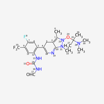 CC1=C2CC(c3cc(F)c(C(F)(F)F)cc3NC(=O)NC=O)=CN=C2N(C)N1OC(C)(C)N(C)C